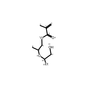 C=C(C)C(=O)OCC(C)OC(CC)CO